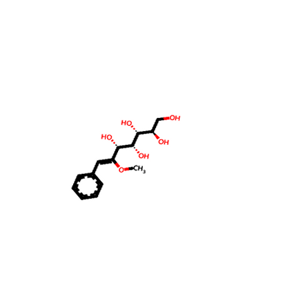 COC(=Cc1ccccc1)[C@H](O)[C@@H](O)[C@H](O)[C@H](O)CO